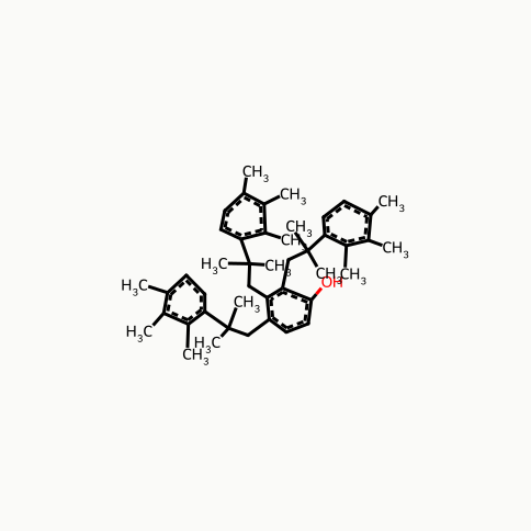 Cc1ccc(C(C)(C)Cc2ccc(O)c(CC(C)(C)c3ccc(C)c(C)c3C)c2CC(C)(C)c2ccc(C)c(C)c2C)c(C)c1C